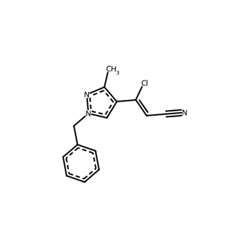 Cc1nn(Cc2ccccc2)cc1C(Cl)=CC#N